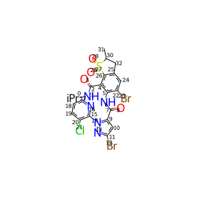 CC(C)NC(=O)c1c(NC(=O)c2cc(Br)nn2-c2ncccc2Cl)c(Br)cc2c1S(=O)(=O)C(C)C2